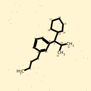 CCCCc1[c]ccc(C(C(C)C)C2CCCCC2)c1